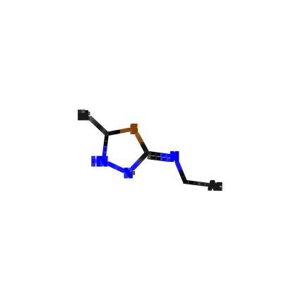 CCC1N[N]C(=NCC(C)=O)S1